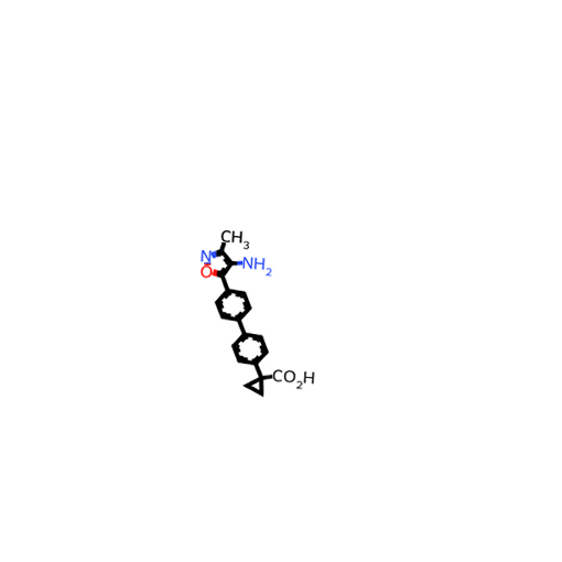 Cc1noc(-c2ccc(-c3ccc(C4(C(=O)O)CC4)cc3)cc2)c1N